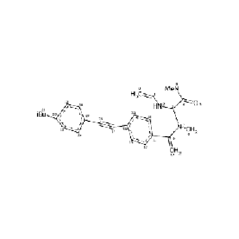 C=CNC(C(=O)NC)N(C)C(=C)c1ccc(C#Cc2ccc(C(C)CC)cc2)cc1